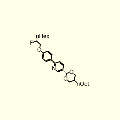 CCCCCCCC[C@H]1CO[C@H](c2ccc(-c3ccc(OC[C@H](F)CCCCCC)cc3)nc2)OC1